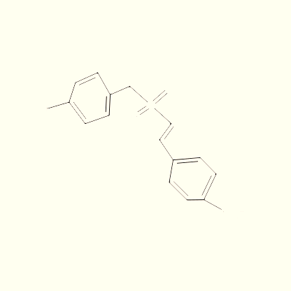 O=C(O)c1ccc(C=CS(=O)(=O)Cc2ccc(I)cc2)cc1